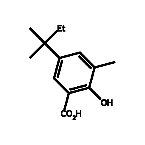 CCC(C)(C)c1cc(C)c(O)c(C(=O)O)c1